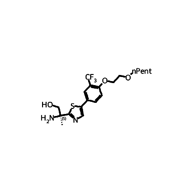 CCCCCOCCOc1ccc(-c2cnc([C@@](C)(N)CO)s2)cc1C(F)(F)F